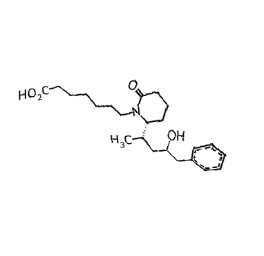 CC(CC(O)Cc1ccccc1)[C@H]1CCCC(=O)N1CCCCCCC(=O)O